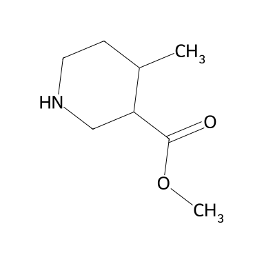 COC(=O)C1CNCCC1C